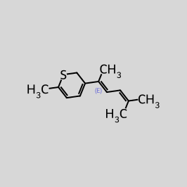 CC(C)=C/C=C(\C)C1=CC=C(C)SC1